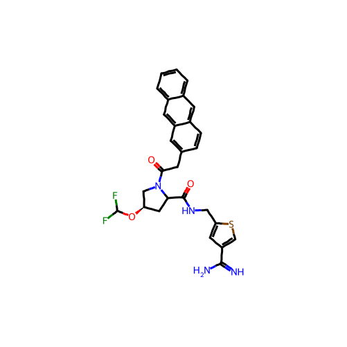 N=C(N)c1csc(CNC(=O)C2C[C@@H](OC(F)F)CN2C(=O)Cc2ccc3cc4ccccc4cc3c2)c1